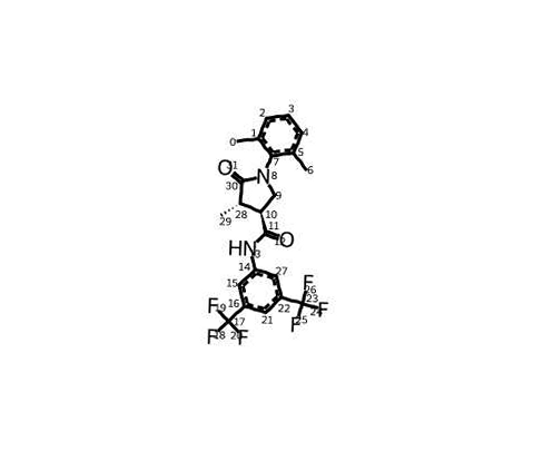 Cc1cccc(C)c1N1C[C@@H](C(=O)Nc2cc(C(F)(F)F)cc(C(F)(F)F)c2)[C@H](C)C1=O